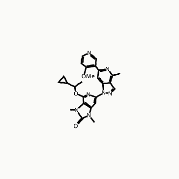 COc1ccncc1-c1cc2c(cnn2-c2cc3c(c(OC(C)C4CC4)n2)n(C)c(=O)n3C)c(C)n1